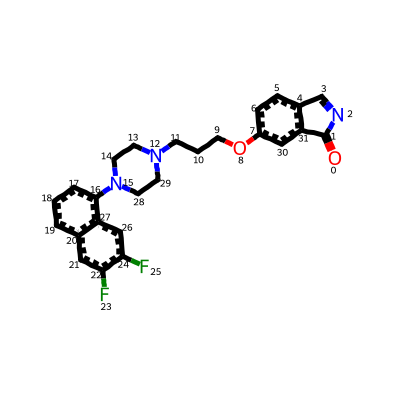 O=C1N=Cc2ccc(OCCCN3CCN(c4cccc5cc(F)c(F)cc45)CC3)cc21